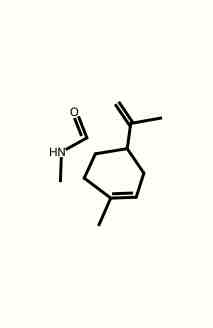 C=C(C)C1CC=C(C)CC1.CNC=O